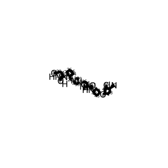 N#Cc1ccc(OC2CCC(NC(=O)c3ccc(N4CCN(Cc5ccccc5NC5CCC(=O)NC5=O)CC4)nn3)CC2)cc1Cl